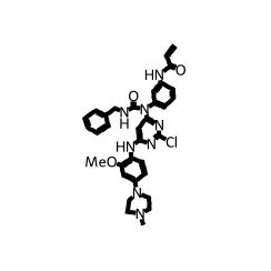 C=CC(=O)Nc1cccc(N(C(=O)NCc2ccccc2)c2cc(Nc3ccc(N4CCN(C)CC4)cc3OC)nc(Cl)n2)c1